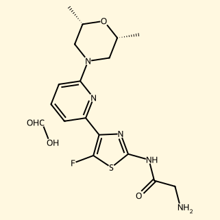 C[C@@H]1CN(c2cccc(-c3nc(NC(=O)CN)sc3F)n2)C[C@H](C)O1.O=CO